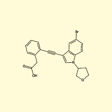 O=C(O)Cc1ccccc1C#Cc1cn(C2CCOC2)c2ccc(Br)cc12